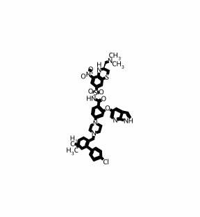 CN(C)C[C@H]1CSc2cc(S(=O)(=O)NC(=O)c3ccc(N4CCN(CC5=C(c6ccc(Cl)cc6)CC(C)(C)CC5)CC4)cc3Oc3cnc4[nH]ccc4c3)cc([N+](=O)[O-])c2N1